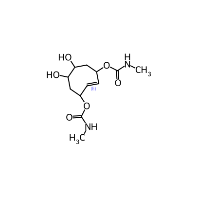 CNC(=O)OC1/C=C/C(OC(=O)NC)CC(O)C(O)C1